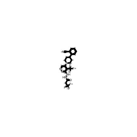 N#Cc1ccccc1C1CCN(c2cnnc(NNC(=O)CC(F)(F)F)c2C(F)(F)F)CC1